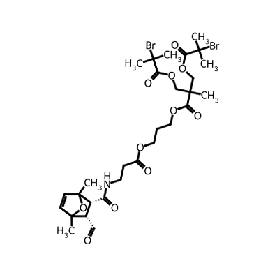 CC(C)(Br)C(=O)OCC(C)(COC(=O)C(C)(C)Br)C(=O)OCCCOC(=O)CCNC(=O)[C@@H]1[C@H](C=O)C2(C)C=CC1(C)O2